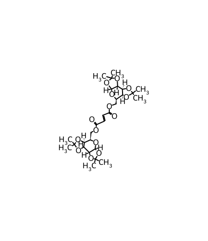 CC1(C)O[C@H]2[C@@H](O1)[C@@H](COC(=O)/C=C/C(=O)OC[C@H]1O[C@@H]3OC(C)(C)O[C@@H]3[C@H]3OC(C)(C)O[C@H]31)O[C@@H]1OC(C)(C)O[C@@H]12